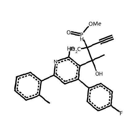 C#CC(C(=O)O)([PH](=O)OC)C(C)(O)c1c(-c2ccc(F)cc2)cc(-c2ccccc2C)nc1C(C)C